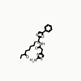 CCC(=O)CCCCC[C@H](NC(=O)Cc1csc(N)n1)c1ncc(-c2ccccc2)o1